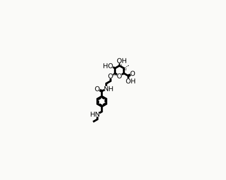 CCNCc1ccc(C(=O)NCCO[C@@H]2OC(C(=O)O)[C@@H](C)[C@H](O)C2O)cc1